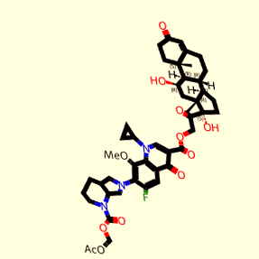 COc1c(N2CC3CCCN(C(=O)OCOC(C)=O)C3C2)c(F)cc2c(=O)c(C(=O)OCC(=O)[C@]3(O)CC[C@@H]4[C@H]5CCC6=CC(=O)CC[C@@]6(C)[C@@H]5[C@H](O)C[C@]43C)cn(C3CC3)c12